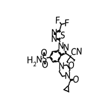 N#CC1(c2nn(-c3nnc(C(F)F)s3)c3cc(S(N)(=O)=O)cc(N4CCN(C(=O)C5CC5)CC4)c23)COC1